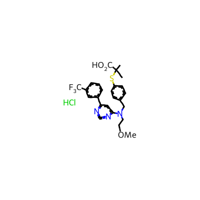 COCCN(Cc1ccc(SC(C)(C)C(=O)O)cc1)c1cc(-c2cccc(C(F)(F)F)c2)ncn1.Cl